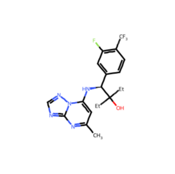 CCC(O)(CC)[C@@H](Nc1cc(C)nc2ncnn12)c1ccc(C(F)(F)F)c(F)c1